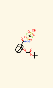 CC(C)(C)OC(=O)COC12CC3CC(C1)CC(C(=O)NS(=O)(=O)C(F)(F)S(=O)(=O)O)(C3)C2